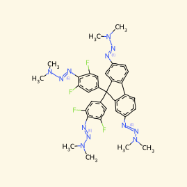 CN(C)/N=N/c1ccc2c(c1)C(c1cc(F)c(/N=N/N(C)C)c(F)c1)(c1cc(F)c(/N=N/N(C)C)c(F)c1)c1cc(/N=N/N(C)C)ccc1-2